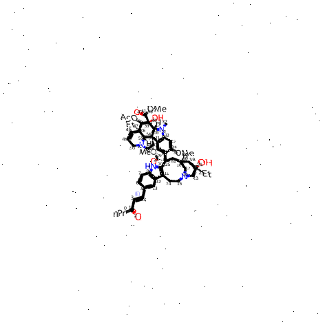 CCCC(=O)/C=C/c1ccc2[nH]c3c(c2c1)CCN1C[C@H](C[C@@](O)(CC)C1)C[C@]3(C(=O)OC)c1cc2c(cc1OC)N(C)[C@H]1[C@@](O)(C(=O)OC)[C@H](OC(C)=O)[C@]3(CC)C=CCN4CC[C@]21[C@@H]43